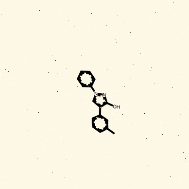 Cc1cccc(-c2cn(-c3ccccc3)nc2O)c1